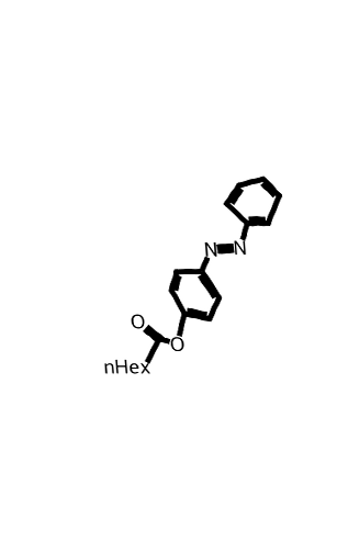 CCCCCCC(=O)Oc1ccc(N=Nc2ccccc2)cc1